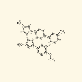 COc1ncc(-c2oc(C)nc2-c2cc(-c3cccc(C)c3)ccc2-n2ccc(C)n2)cc1F